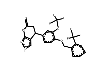 O=C1CC(c2ccc(OCc3ccccc3C(F)(F)F)c(OC(F)(F)F)c2)c2c[nH]nc2N1